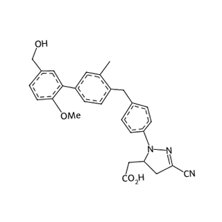 COc1ccc(CO)cc1-c1ccc(Cc2ccc(N3N=C(C#N)CC3CC(=O)O)cc2)c(C)c1